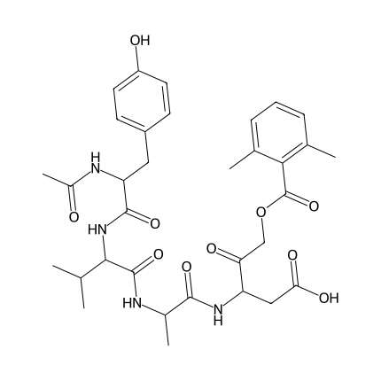 CC(=O)NC(Cc1ccc(O)cc1)C(=O)NC(C(=O)NC(C)C(=O)NC(CC(=O)O)C(=O)COC(=O)c1c(C)cccc1C)C(C)C